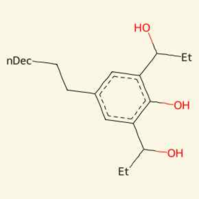 CCCCCCCCCCCCc1cc(C(O)CC)c(O)c(C(O)CC)c1